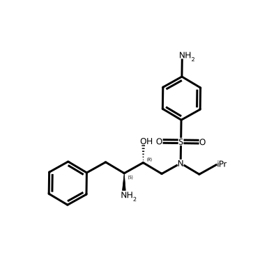 CC(C)CN(C[C@@H](O)[C@@H](N)Cc1ccccc1)S(=O)(=O)c1ccc(N)cc1